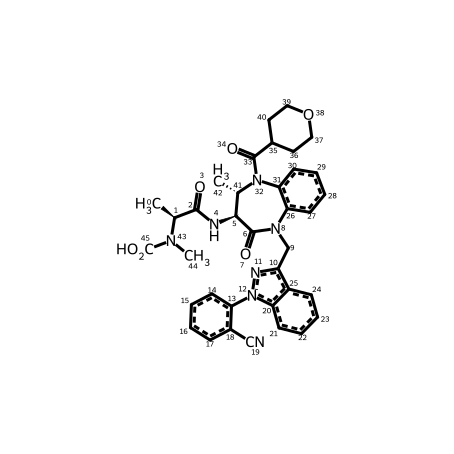 C[C@@H](C(=O)N[C@@H]1C(=O)N(Cc2nn(-c3ccccc3C#N)c3ccccc23)c2ccccc2N(C(=O)C2CCOCC2)[C@H]1C)N(C)C(=O)O